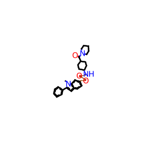 Cn1c(-c2ccccc2)cc2ccc(S(=O)(=O)NC3CCC(C(=O)N4CCCCC4)CC3)cc21